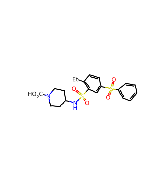 CCc1ccc(S(=O)(=O)c2ccccc2)cc1S(=O)(=O)NC1CCN(C(=O)O)CC1